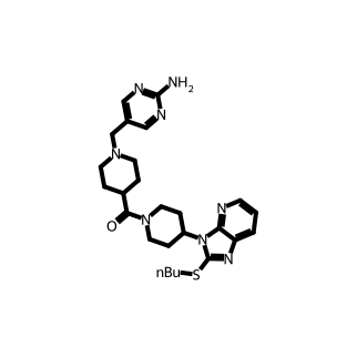 CCCCSc1nc2cccnc2n1C1CCN(C(=O)C2CCN(Cc3cnc(N)nc3)CC2)CC1